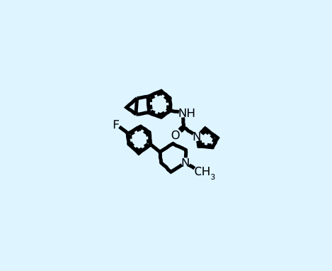 CN1CCC(c2ccc(F)cc2)CC1.O=C(Nc1ccc2c(c1)C1CC21)n1cccc1